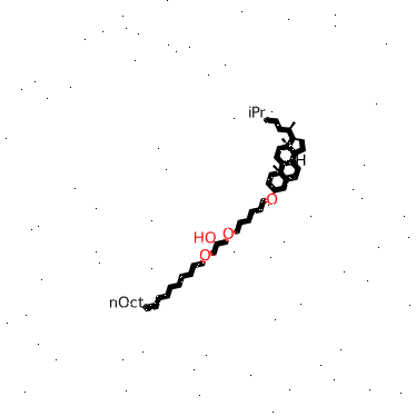 CCCCCCCC/C=C\CCCCCCCCOC[C@@H](O)COCCCCCCO[C@H]1CC[C@@]2(C)C(=CC[C@@H]3C2CC[C@@]2(C)C3CC[C@@H]2[C@H](C)CCCC(C)C)C1